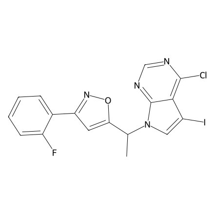 CC(c1cc(-c2ccccc2F)no1)n1cc(I)c2c(Cl)ncnc21